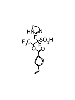 C1=NCCN1.C=Cc1ccc(C(=O)OC(C(F)(F)F)C(F)(F)S(=O)(=O)O)cc1